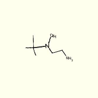 CC(C)(C)N(O)CCN